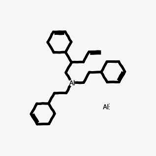 C=CCC([CH2][Al]([CH2]CC1CC=CCC1)[CH2]CC1CC=CCC1)C1CC=CCC1.[Al]